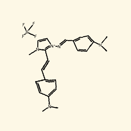 CN(C)c1ccc(/C=C/c2n(C)cc[n+]2/N=C/c2ccc(N(C)C)cc2)cc1.F[B-](F)(F)F